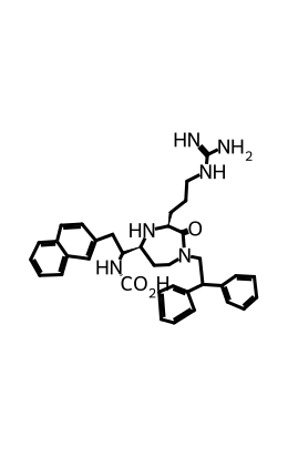 N=C(N)NCCC[C@@H]1N[C@H](C(Cc2ccc3ccccc3c2)NC(=O)O)CCN(CC(c2ccccc2)c2ccccc2)C1=O